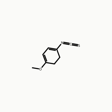 COC1=CC=C(N=C=S)C[CH]1